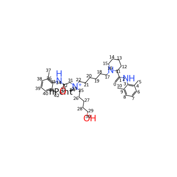 C=C(Nc1c(C)cccc1C)C1CCCCN1CCCCCC[N+](CCCCC)(CCCCCO)CC(=O)Nc1c(C)cccc1C